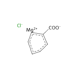 O=C([O-])c1ccccc1.[Cl-].[Mg+2]